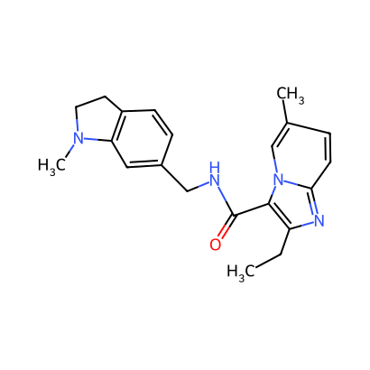 CCc1nc2ccc(C)cn2c1C(=O)NCc1ccc2c(c1)N(C)CC2